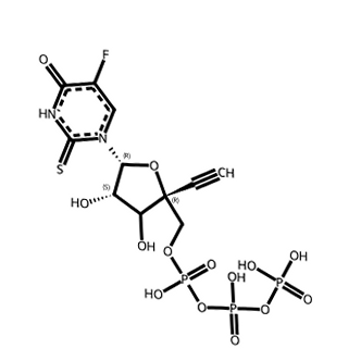 C#C[C@]1(COP(=O)(O)OP(=O)(O)OP(=O)(O)O)O[C@@H](n2cc(F)c(=O)[nH]c2=S)[C@@H](O)C1O